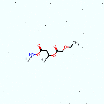 CCOCC(=O)OC(C)CC(=O)ONC